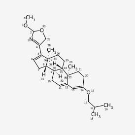 COC1N=C(C2=CC[C@H]3[C@@H]4CC=C5C=C(OCC(C)C)CC[C@]5(C)[C@H]4CC[C@]23C)CO1